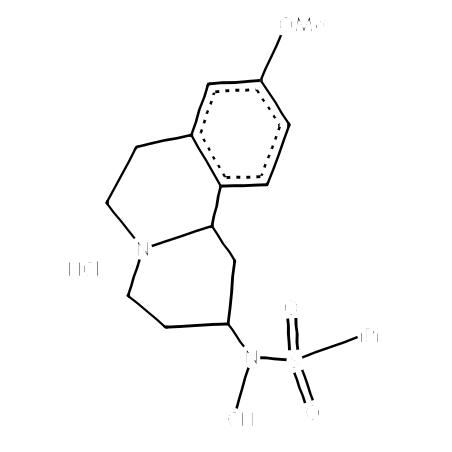 COc1ccc2c(c1)CCN1CCC(N(C)S(=O)(=O)C(C)C)CC21.Cl